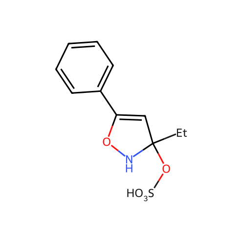 CCC1(OS(=O)(=O)O)C=C(c2ccccc2)ON1